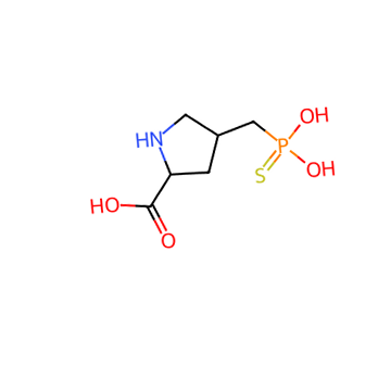 O=C(O)C1CC(CP(O)(O)=S)CN1